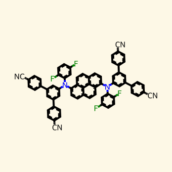 N#Cc1ccc(-c2cc(-c3ccc(C#N)cc3)cc(N(c3cc(F)ccc3F)c3ccc4ccc5c(N(c6cc(-c7ccc(C#N)cc7)cc(-c7ccc(C#N)cc7)c6)c6cc(F)ccc6F)ccc6ccc3c4c65)c2)cc1